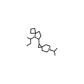 CCC(C)N1C(C2CC23CCN(C(C)C)CC3)CCC12CCC2